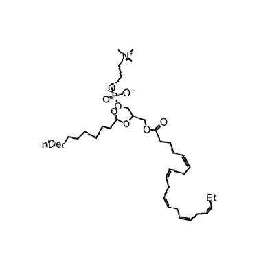 CC/C=C\C/C=C\C/C=C\C/C=C\C/C=C\CCCC(=O)OC[C@H](COP(=O)([O-])OCC[N+](C)(C)C)OC(=O)CCCCCCCCCCCCCCCC